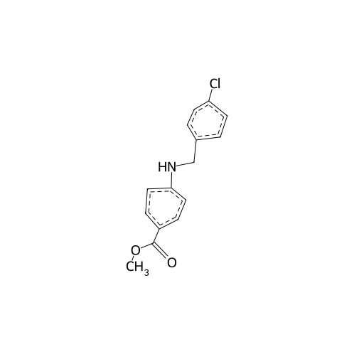 COC(=O)c1ccc(NCc2ccc(Cl)cc2)cc1